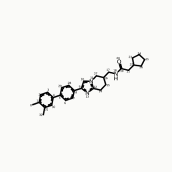 Cc1ccc(-c2ccc(-c3cn4c(n3)CCC(CNC(=O)CC3CCCC3)C4)cc2)cc1C